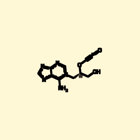 Nc1c2ncnc-2ncn1C[C@@H](CO)OC#P=O